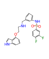 O=S(=O)(Nc1cccc(CNCCOc2cccc3[nH]ccc23)c1)c1ccc(F)c(F)c1